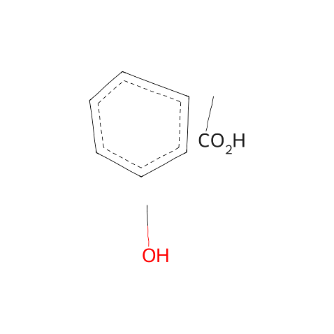 CC(=O)O.CO.c1ccccc1